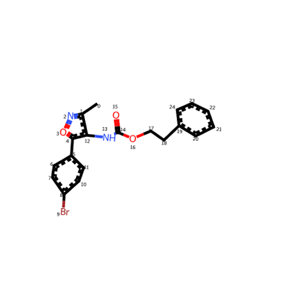 Cc1noc(-c2ccc(Br)cc2)c1NC(=O)OCCc1ccccc1